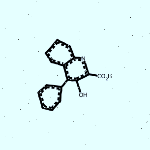 O=C(O)c1nc2ccccc2c(-c2ccccc2)c1O